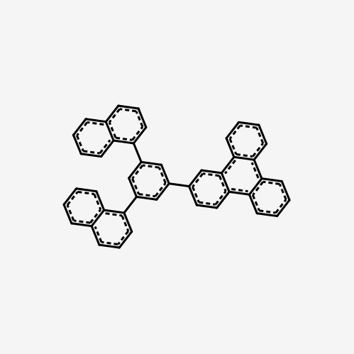 c1ccc2c(-c3cc(-c4ccc5c6ccccc6c6ccccc6c5c4)cc(-c4cccc5ccccc45)c3)cccc2c1